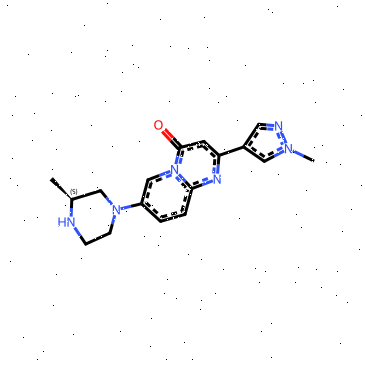 C[C@H]1CN(c2ccc3nc(-c4cnn(C)c4)cc(=O)n3c2)CCN1